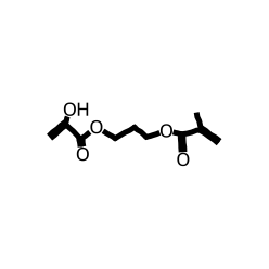 C=C(C)C(=O)OCCCOC(=O)C(=C)O